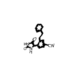 N#Cc1ccc(C2NC(=O)NC2=O)c(CCc2ccccc2)c1